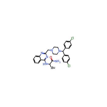 CCC(C)C(Nc1nc(CN2CCN(C(c3ccc(Cl)cc3)c3ccc(Cl)cc3)CC2)nc2ccccc12)C(N)=O